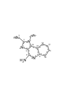 CC[CH]n1c(CCCC)nc2c(N)nc3ccccc3c21